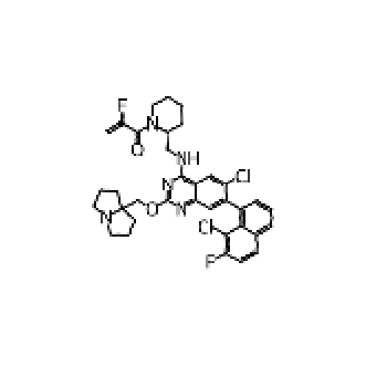 C=C(F)C(=O)N1CCCC[C@H]1CNc1nc(OCC23CCCN2CCC3)nc2cc(-c3cccc4ccc(F)c(Cl)c34)c(Cl)cc12